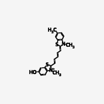 Cc1ccc2c(c1)S\C(=C/C=C/C=C/c1sc3cc(O)ccc3[n+]1C)N2C